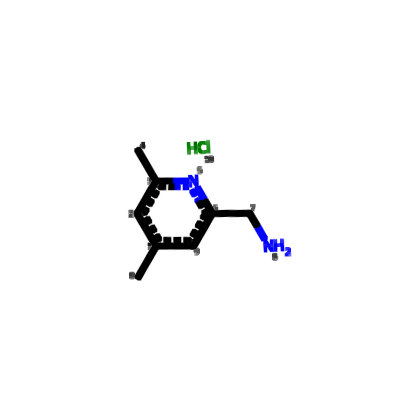 Cc1cc(C)nc(CN)c1.Cl